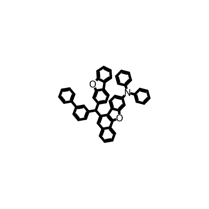 c1ccc(-c2cccc(C(c3ccc4c(c3)oc3ccccc34)c3cc4ccccc4c4oc5cc(N(c6ccccc6)c6ccccc6)ccc5c34)c2)cc1